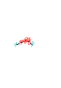 O=C(COP(=O)(O)OCC(=O)OCCC(F)(F)F)OCCC(F)(F)F